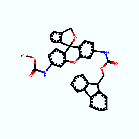 CC(C)(C)OC(=O)Nc1ccc2c(c1)Oc1cc(NC(=O)OCC3c4ccccc4-c4ccccc43)ccc1C21OCc2ccccc21